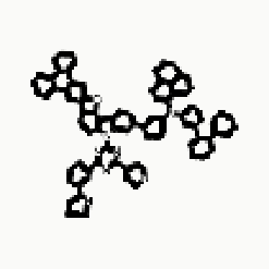 C1=Cc2ccc(N(c3cccc(-c4ccc5c6c7oc8cc9c%10ccccc%10c%10ccccc%10c9cc8c7ccc6n(-c6nc(-c7ccncc7)nc(-c7cccc(-c8ccccn8)c7)n6)c5c4)c3)c3cccc(-c4ccccc4-c4ccccc4)c3)c3cccc(c23)C1